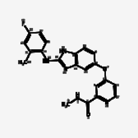 CNC(=O)c1cc(Oc2ccc3[nH]c(Nc4ccc(F)cc4C)nc3c2)ccn1